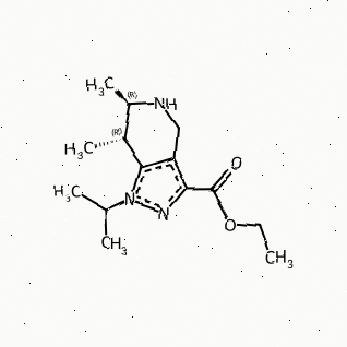 CCOC(=O)c1nn(C(C)C)c2c1CN[C@H](C)[C@H]2C